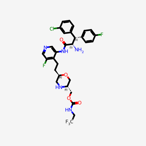 N[C@H](C(=O)Nc1cncc(F)c1CC[C@@H]1CN[C@@H](COC(=O)NCC(F)(F)F)CO1)[C@@H](c1ccc(F)cc1)c1cccc(Cl)c1